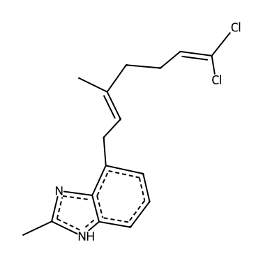 C/C(=C\Cc1cccc2[nH]c(C)nc12)CCC=C(Cl)Cl